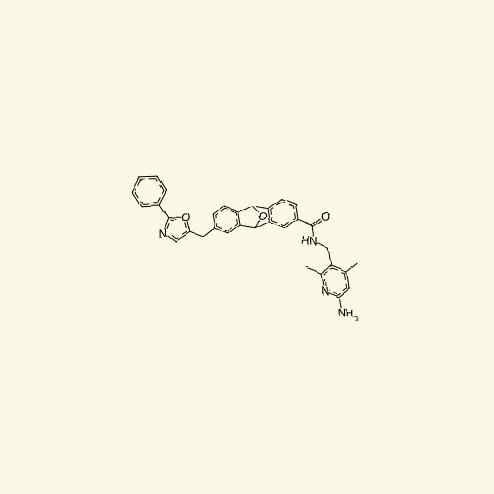 Cc1cc(N)nc(C)c1CNC(=O)c1ccc2c(c1)C1OC2c2ccc(Cc3cnc(-c4ccccc4)o3)cc21